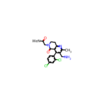 CNC(=O)CN1CCc2nc(C)c(CN)c(-c3ccc(Cl)cc3Cl)c2C1=O